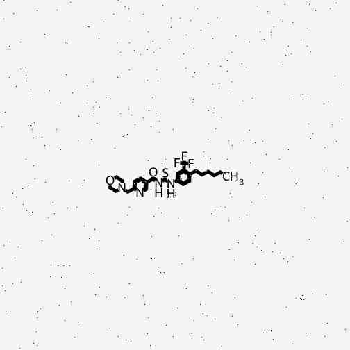 CCCCCCc1ccc(NC(=S)NC(=O)c2ccc(CN3CCOCC3)nc2)cc1C(F)(F)F